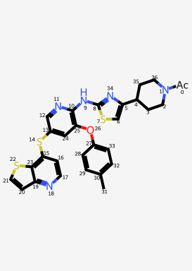 CC(=O)N1CCC(c2csc(Nc3ncc(Sc4ccnc5ccsc45)cc3Oc3ccc(C)cc3)n2)CC1